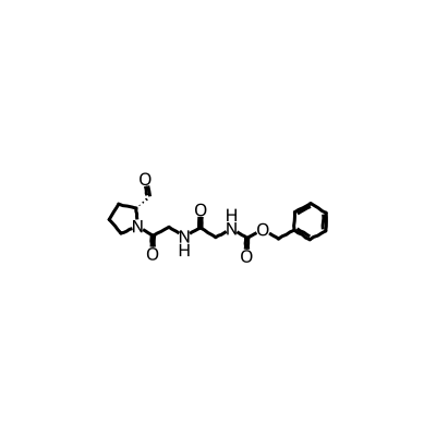 O=C[C@H]1CCCN1C(=O)CNC(=O)CNC(=O)OCc1ccccc1